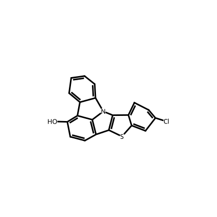 Oc1ccc2c3sc4cc(Cl)ccc4c3n3c4ccccc4c1c23